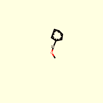 C[O][Zn][c]1ccccc1